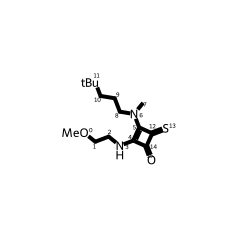 COCCNc1c(N(C)CCCC(C)(C)C)c(=S)c1=O